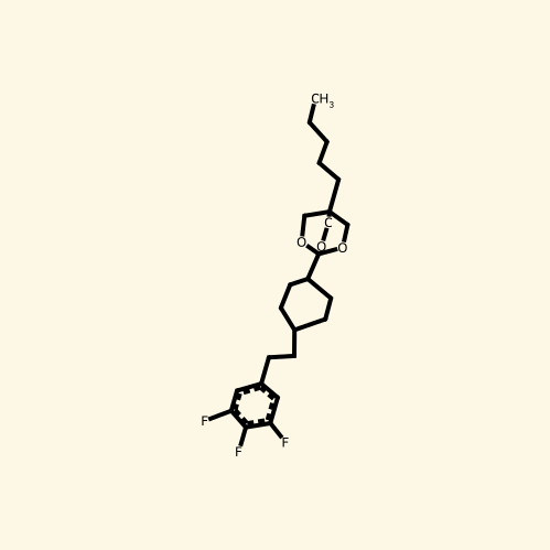 CCCCCC12COC(C3CCC(CCc4cc(F)c(F)c(F)c4)CC3)(OC1)OC2